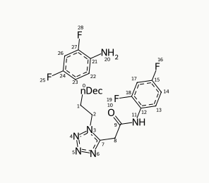 CCCCCCCCCCCCn1nnnc1CC(=O)Nc1ccc(F)cc1F.Nc1ccc(F)cc1F